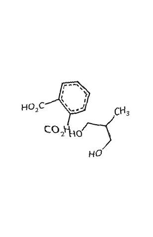 CC(CO)CO.O=C(O)c1ccccc1C(=O)O